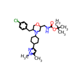 Cc1cc(C2CCC(N3CC(CNC(=O)OC(C)(C)C)OCC3Cc3ccc(Cl)cc3)CC2)nn1C